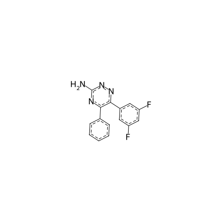 Nc1nnc(-c2cc(F)cc(F)c2)c(-c2ccccc2)n1